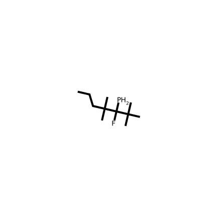 CCCC(C)(C)C(F)(P)C(C)(C)C